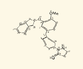 COc1ccc(-c2cccc(-n3[nH]ccc3=O)c2)cc1OC1Cc2ccccc2C1